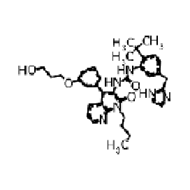 CCCCn1c(=O)c(NC(=O)Nc2cc(Cc3ncc[nH]3)ccc2C(C)(C)C)c(-c2cccc(OCCCO)c2)c2cccnc21